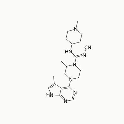 Cc1c[nH]c2ncnc(N3CCN(C(=NC#N)NC4CCN(C)CC4)C(C)C3)c12